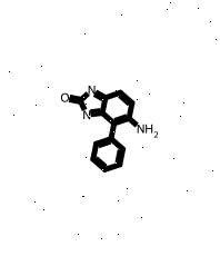 Nc1ccc2c(c1-c1ccccc1)=NC(=O)N=2